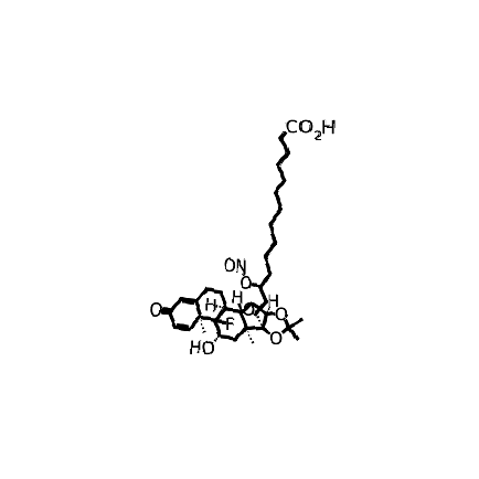 CC1(C)O[C@@H]2C[C@H]3[C@@H]4CCC5=CC(=O)C=C[C@]5(C)C4(F)[C@@H](O)C[C@]3(C)[C@]2(C(=O)CC(CCCCCCCCCCC(=O)O)ON=O)O1